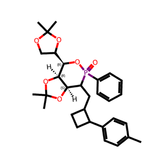 Cc1ccc(C2CCC2CC2[C@H]3OC(C)(C)O[C@H]3[C@@H](C3COC(C)(C)O3)OP2(=O)c2ccccc2)cc1